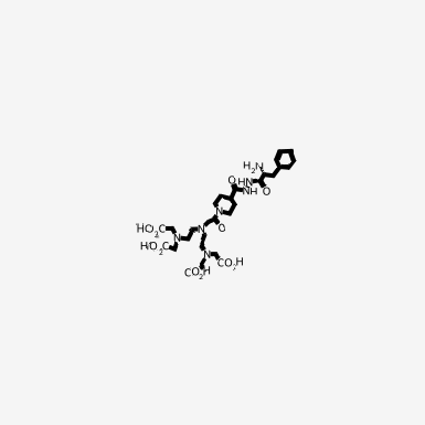 N[C@H](Cc1ccccc1)C(=O)NNC(=O)C1CCN(C(=O)CN(CCN(CC(=O)O)CC(=O)O)CCN(CC(=O)O)CC(=O)O)CC1